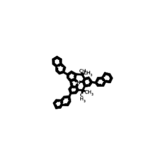 CC1(C)c2cc(-c3ccc4ccccc4c3)cc3c2-n2c4c1cc(-c1ccc5ccccc5c1)cc4c1cc(-c4ccc5ccccc5c4)cc(c12)C3(C)C